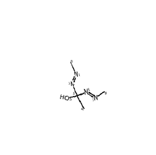 CN=NC(C)(O)N=NC